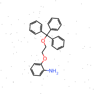 Nc1ccccc1OCCOC(c1ccccc1)(c1ccccc1)c1ccccc1